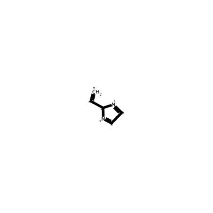 C=CC1N=CC=N1